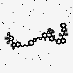 Cc1c(OCC2CC3(CCN(CCCc4ccc5c(C6CCC(=O)NC6=O)nn(C)c5c4)CC3)C2)cccc1-c1ccc(N2CCc3cccc(C(=O)Nc4nc5ccccc5s4)c3C2)nc1C(=O)OC(C)(C)C